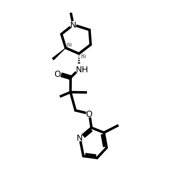 Cc1cccnc1OCC(C)(C)C(=O)N[C@H]1CCN(C)C[C@@H]1C